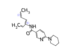 C=C/C(=C\C=C/C)NC(=O)c1ccc(N2CCCCC2)nc1